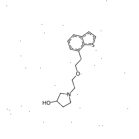 OC1CCN(CCOCCc2cccc3ccsc23)C1